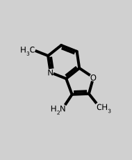 Cc1ccc2oc(C)c(N)c2n1